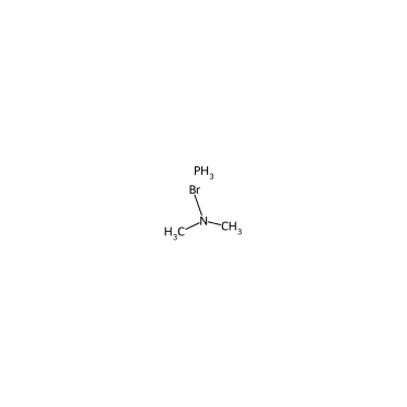 CN(C)Br.P